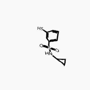 O=S(=O)(NC1CC1)c1cccc(S)c1